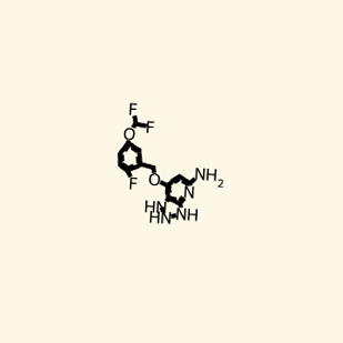 Nc1cc(OCc2cc(OC(F)F)ccc2F)c2c(n1)NNN2